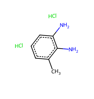 Cc1cccc(N)c1N.Cl.Cl